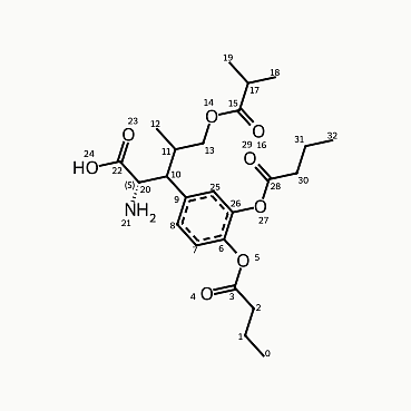 CCCC(=O)Oc1ccc(C(C(C)COC(=O)C(C)C)[C@H](N)C(=O)O)cc1OC(=O)CCC